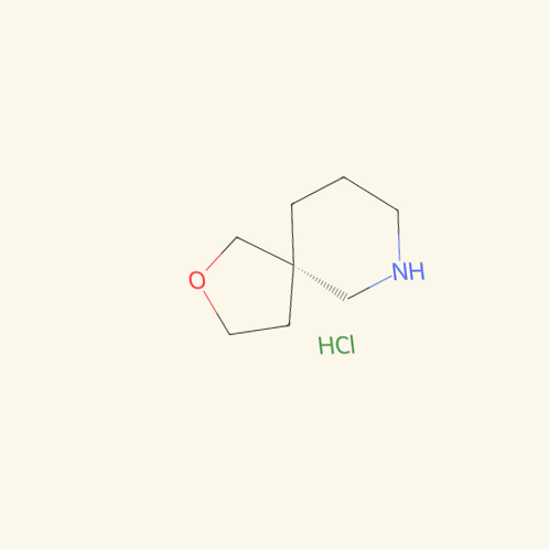 C1CNC[C@]2(C1)CCOC2.Cl